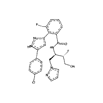 O=C(N[C@H](Cn1cccn1)[C@H](F)CO)c1cccc(F)c1-c1cc(-c2ccc(Cl)cc2)[nH]n1